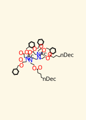 CCCCCCCCCCCCCC(=O)OCCN(CCN(CCOC(=O)CCCCCCCCCCCCC)[N+](CC(=O)OCc1ccccc1)(CC(=O)OCc1ccccc1)C(C)=O)[N+](CC(=O)OCc1ccccc1)(CC(=O)OCc1ccccc1)C(C)=O